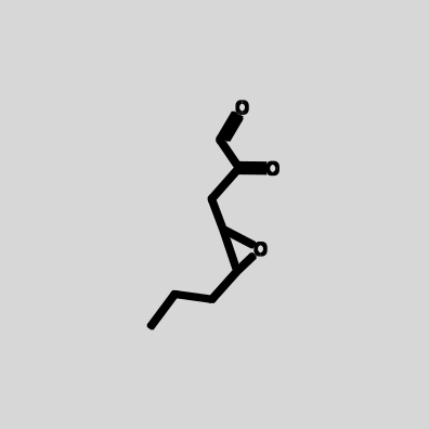 CCCC1OC1CC(=O)C=O